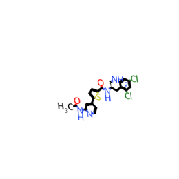 CC(=O)Nc1cc(-c2ccc(C(=O)N[C@H](CN)Cc3ccc(Cl)cc3Cl)s2)ccn1